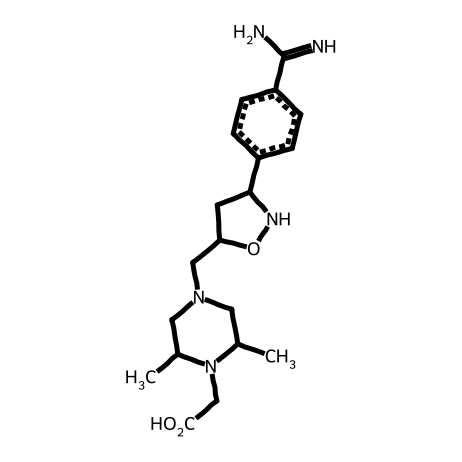 CC1CN(CC2CC(c3ccc(C(=N)N)cc3)NO2)CC(C)N1CC(=O)O